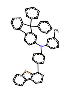 Cc1cccc(N(c2ccc(-c3cccc4c3sc3ccccc34)cc2)c2ccc3c(c2)C(c2ccccc2)(c2ccccc2)c2ccccc2-3)c1